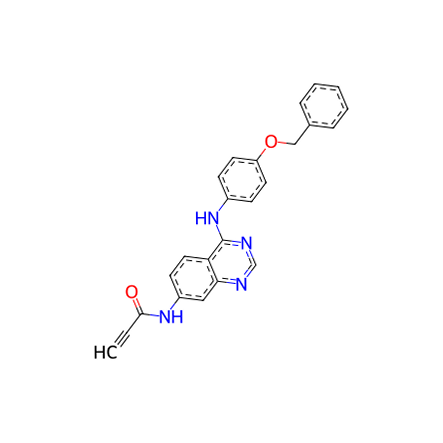 C#CC(=O)Nc1ccc2c(Nc3ccc(OCc4ccccc4)cc3)ncnc2c1